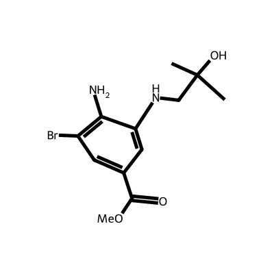 COC(=O)c1cc(Br)c(N)c(NCC(C)(C)O)c1